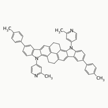 Cc1ccc(-c2ccc3c(c2)c2cc4c5c(c2n3-c2ccnc(C)c2)CCc2cc3c6cc(-c7ccc(C)cc7)ccc6n(-c6ccnc(C)c6)c3c(c2-5)CC4)cc1